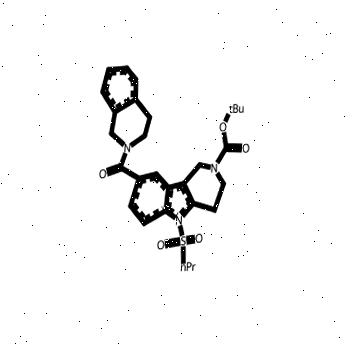 CCCS(=O)(=O)n1c2c(c3cc(C(=O)N4CCc5ccccc5C4)ccc31)CN(C(=O)OC(C)(C)C)CC2